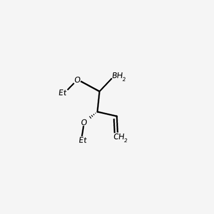 BC(OCC)[C@H](C=C)OCC